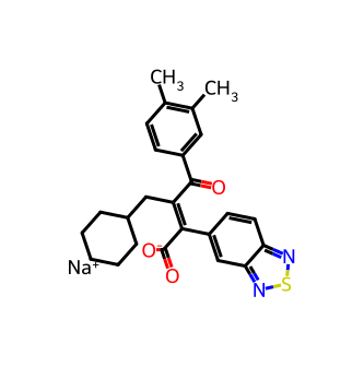 Cc1ccc(C(=O)/C(CC2CCCCC2)=C(/C(=O)[O-])c2ccc3nsnc3c2)cc1C.[Na+]